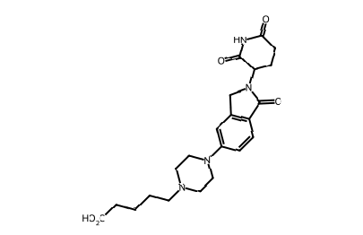 O=C(O)CCCCN1CCN(c2ccc3c(c2)CN(C2CCC(=O)NC2=O)C3=O)CC1